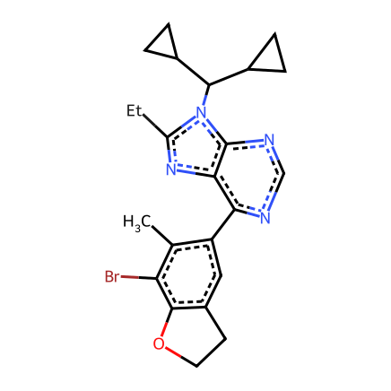 CCc1nc2c(-c3cc4c(c(Br)c3C)OCC4)ncnc2n1C(C1CC1)C1CC1